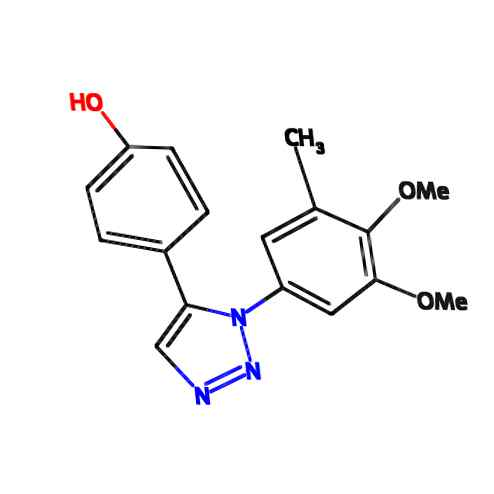 COc1cc(-n2nncc2-c2ccc(O)cc2)cc(C)c1OC